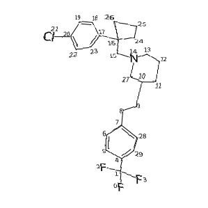 FC(F)(F)c1ccc(CCC2CCCN(CC3(c4ccc(Cl)cc4)CCC3)C2)cc1